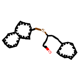 O=CC(Cc1ccccc1)Sc1ccc2ccccc2c1